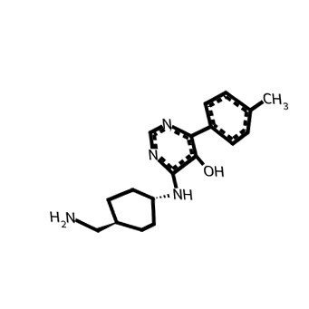 Cc1ccc(-c2ncnc(N[C@H]3CC[C@H](CN)CC3)c2O)cc1